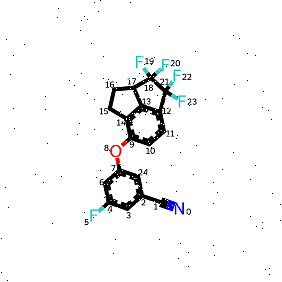 N#Cc1cc(F)cc(Oc2ccc3c4c2CCC4C(F)(F)C3(F)F)c1